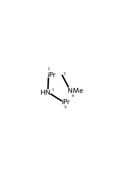 CC(C)NC(C)C.CNC